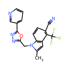 Cc1cc2c(C(F)(F)F)c(C#N)ccc2n1Cc1nnc(-c2cccnc2)o1